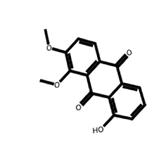 COc1ccc2c(c1OC)C(=O)c1c(O)cccc1C2=O